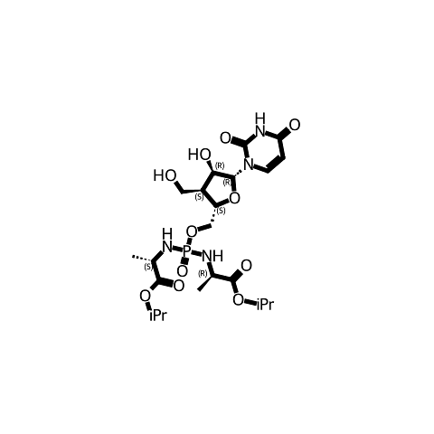 CC(C)OC(=O)[C@H](C)NP(=O)(N[C@H](C)C(=O)OC(C)C)OC[C@H]1O[C@@H](n2ccc(=O)[nH]c2=O)[C@H](O)[C@@H]1CO